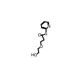 O=C(CCOCCO)Sc1ccccn1